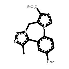 CCOC(=O)c1ncn2c1Cn1nnc(C)c1-c1cc(OC)ccc1-2